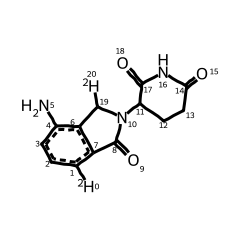 [2H]c1ccc(N)c2c1C(=O)N(C1CCC(=O)NC1=O)C2[2H]